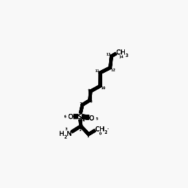 [CH2]CC(N)S(=O)(=O)CCCCCCCC